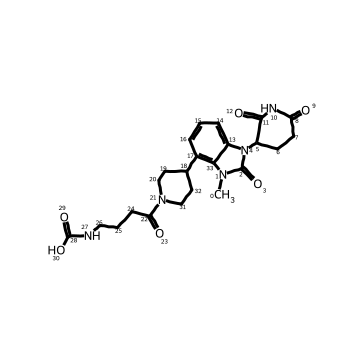 Cn1c(=O)n(C2CCC(=O)NC2=O)c2cccc(C3CCN(C(=O)CCCNC(=O)O)CC3)c21